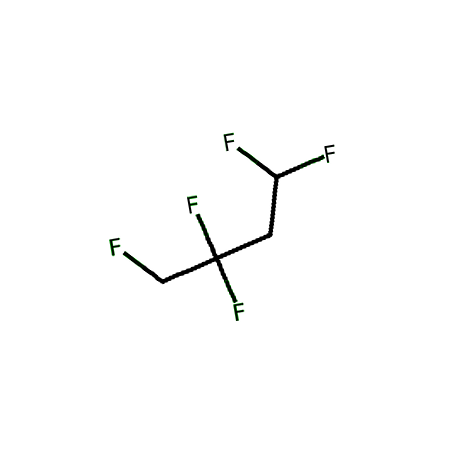 FCC(F)(F)CC(F)F